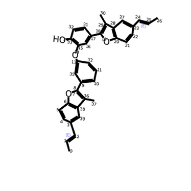 C/C=C/c1ccc2oc(-c3cccc(Oc4cc(-c5oc6ccc(/C=C/C)cc6c5C)ccc4O)c3)c(C)c2c1